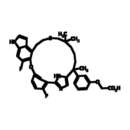 CC1(C)CCCC(C)(c2cccc(OCC(=O)O)c2)c2cnc([nH]2)-c2cc(ccc2F)Oc2c(F)cc3[nH]ccc3c2CCSC1